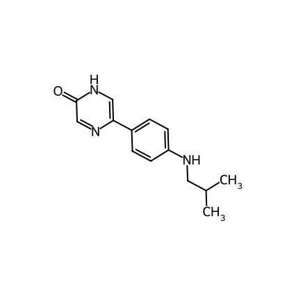 CC(C)CNc1ccc(-c2c[nH]c(=O)cn2)cc1